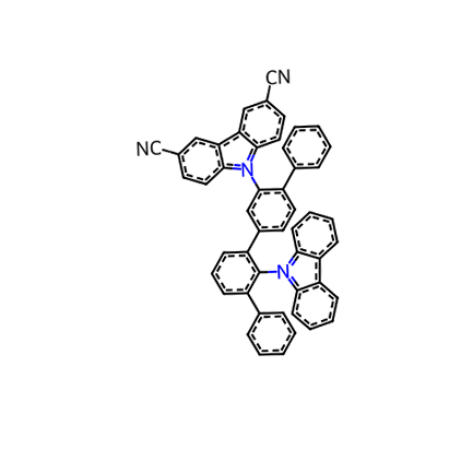 N#Cc1ccc2c(c1)c1cc(C#N)ccc1n2-c1cc(-c2cccc(-c3ccccc3)c2-n2c3ccccc3c3ccccc32)ccc1-c1ccccc1